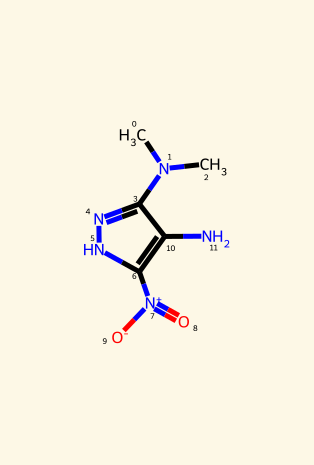 CN(C)c1n[nH]c([N+](=O)[O-])c1N